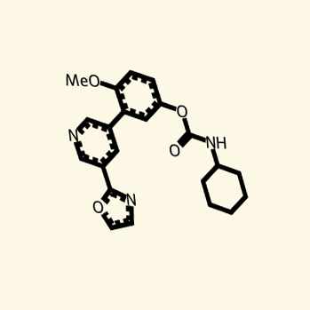 COc1ccc(OC(=O)NC2CCCCC2)cc1-c1cncc(-c2ncco2)c1